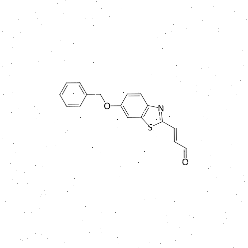 O=CC=Cc1nc2ccc(OCc3ccccc3)cc2s1